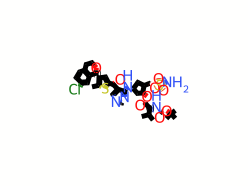 Cc1sc(C(=O)c2cncnc2NC2CC(COS(N)(=O)=O)C(OC(=O)[C@H](NC(=O)OC(C)(C)C)C(C)C)C2)cc1[C@@H]1OCCc2ccc(Cl)cc21